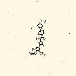 COc1c(F)cc(-c2nc(NC(=O)c3cnc(N4CCC(C(=O)O)CC4)cn3)sc2C)cc1C(F)(F)F